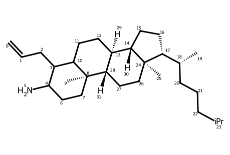 C=CCC1C(N)CC[C@@]2(C)C1CC[C@H]1[C@@H]3CC[C@H]([C@H](C)CCCC(C)C)[C@@]3(C)CC[C@@H]12